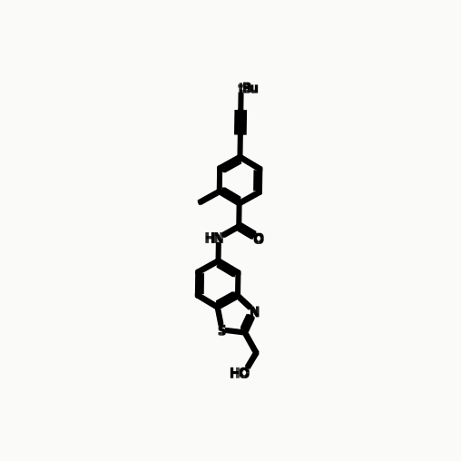 Cc1cc(C#CC(C)(C)C)ccc1C(=O)Nc1ccc2sc(CO)nc2c1